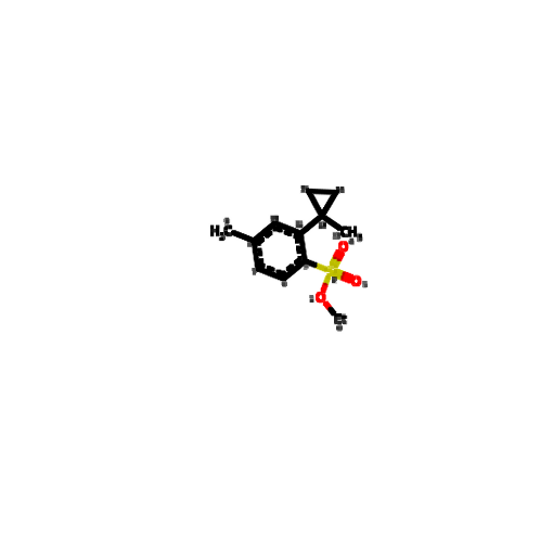 CCOS(=O)(=O)c1ccc(C)cc1C1(C)CC1